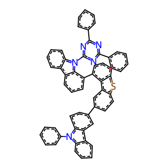 c1ccc(-c2nc(-c3ccccc3)nc(-n3c4ccccc4c4cccc(-c5cccc6sc7ccc(-c8ccc9c(c8)c8ccccc8n9-c8ccccc8)cc7c56)c43)n2)cc1